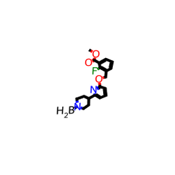 BN1CCC(c2cccc(OCc3cccc(C(=O)OC)c3F)n2)CC1